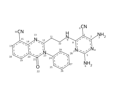 N#Cc1c(N)nc(N)nc1NCCc1nc2c(C#N)cccc2c(=O)n1-c1ccccc1